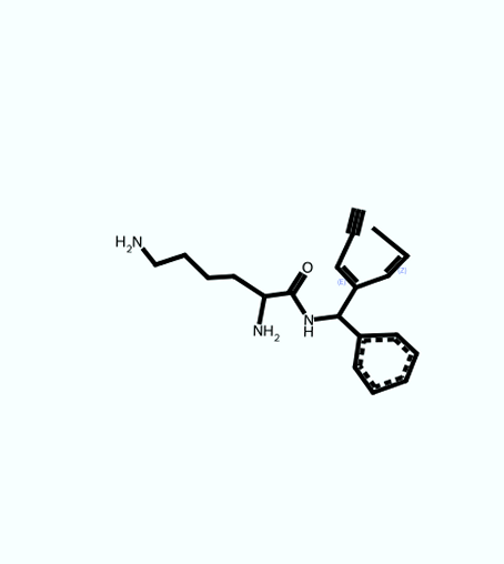 C#C/C=C(\C=C/C)C(NC(=O)C(N)CCCCN)c1ccccc1